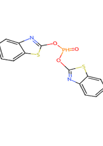 O=[PH](Oc1nc2ccccc2s1)Oc1nc2ccccc2s1